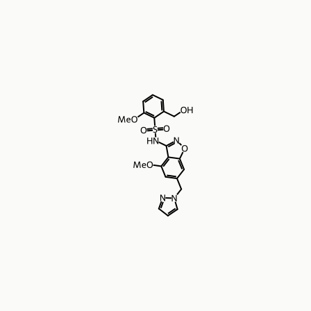 COc1cccc(CO)c1S(=O)(=O)Nc1noc2cc(Cn3cccn3)cc(OC)c12